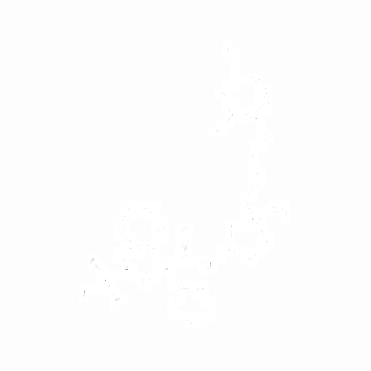 C[N+]1(CCCOc2ccc(F)cc2F)CCC(OC(=O)C(OC(=O)C(F)(F)F)(c2ccccc2)C2CCCC2)C1